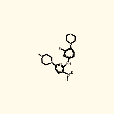 CN1CCN(c2ccc([N+](=O)[O-])c(Nc3ccc(N4CCSCC4)c(F)c3)n2)CC1